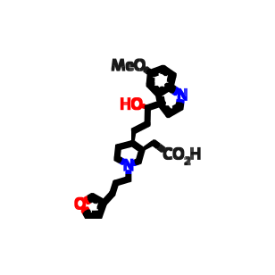 COc1ccc2nccc([C@H](O)CC[C@@H]3CCN(CCCc4ccoc4)C[C@@H]3CC(=O)O)c2c1